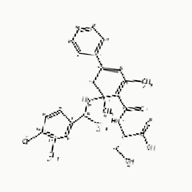 CC1=C(C(=O)N[C@@H](CO)C(=O)O)C(C)(NC(C)c2ccc(Cl)c(C)c2)CC(c2ccccc2)=C1